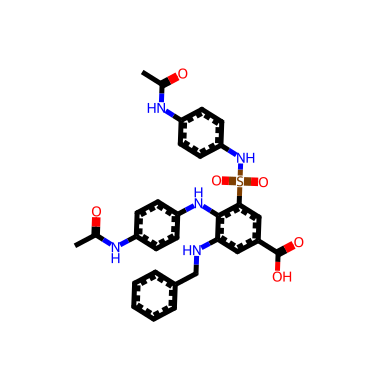 CC(=O)Nc1ccc(Nc2c(NCc3ccccc3)cc(C(=O)O)cc2S(=O)(=O)Nc2ccc(NC(C)=O)cc2)cc1